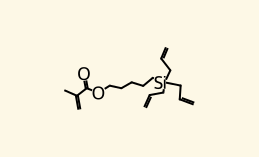 C=CC[Si](CC=C)(CC=C)CCCCCOC(=O)C(=C)C